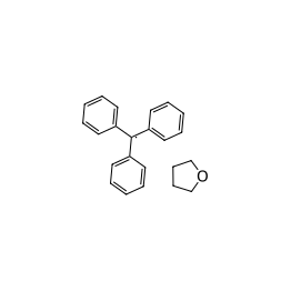 C1CCOC1.c1ccc([C](c2ccccc2)c2ccccc2)cc1